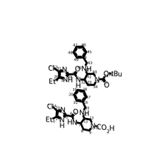 CCc1[nH]c(C(=O)NC2CCN(C(=O)O)CC2NCc2ccccc2)nc1Cl.CCc1[nH]c(C(=O)NC2CCN(C(=O)OC(C)(C)C)CC2NCc2ccccc2)nc1Cl